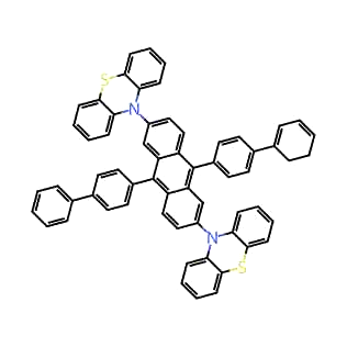 C1=CCCC(c2ccc(-c3c4ccc(N5c6ccccc6Sc6ccccc65)cc4c(-c4ccc(-c5ccccc5)cc4)c4ccc(N5c6ccccc6Sc6ccccc65)cc34)cc2)=C1